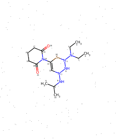 CCN(CC)n1[nH]n(NC(C)C)cc(N2C(=O)CCCC2=O)s1